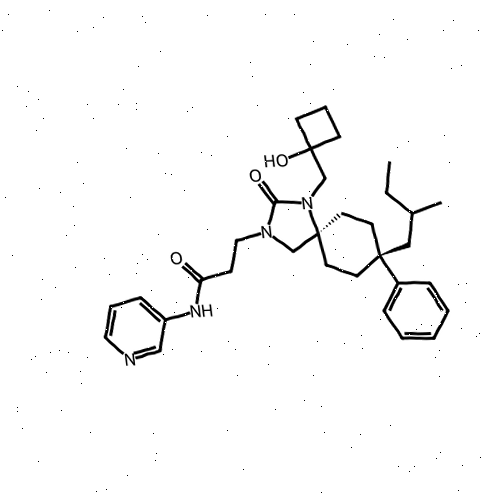 CCC(C)C[C@]1(c2ccccc2)CC[C@]2(CC1)CN(CCC(=O)Nc1cccnc1)C(=O)N2CC1(O)CCC1